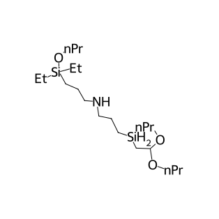 CCCOC(C[SiH2]CCCNCCC[Si](CC)(CC)OCCC)OCCC